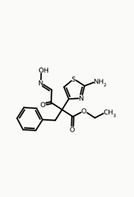 CCOC(=O)C(Cc1ccccc1)(C(=O)/C=N/O)c1csc(N)n1